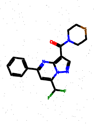 O=C(c1cnn2c(C(F)F)cc(-c3ccccc3)nc12)N1CCSCC1